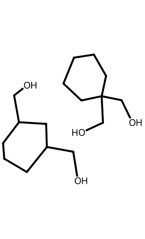 OCC1(CO)CCCCC1.OCC1CCCC(CO)C1